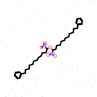 O=[N+]([O-])C(CCCCCCCCCCCc1ccccc1)OC(CCCCCCCCCCCc1ccccc1)[N+](=O)[O-]